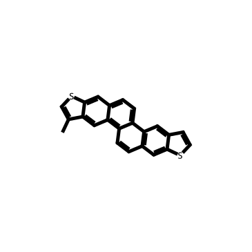 Cc1csc2cc3ccc4c5cc6ccsc6cc5ccc4c3cc12